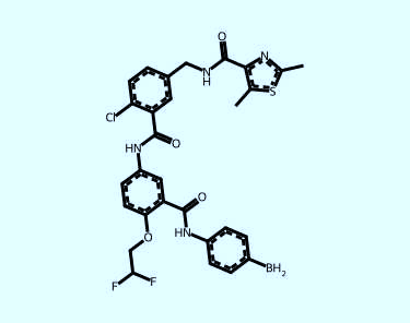 Bc1ccc(NC(=O)c2cc(NC(=O)c3cc(CNC(=O)c4nc(C)sc4C)ccc3Cl)ccc2OCC(F)F)cc1